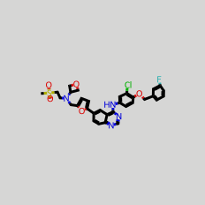 CS(=O)(=O)CCN(Cc1ccc(-c2ccc3ncnc(Nc4ccc(OCc5cccc(F)c5)c(Cl)c4)c3c2)o1)C1COC1